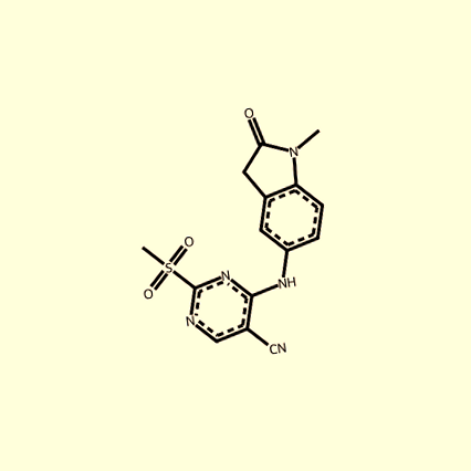 CN1C(=O)Cc2cc(Nc3nc(S(C)(=O)=O)ncc3C#N)ccc21